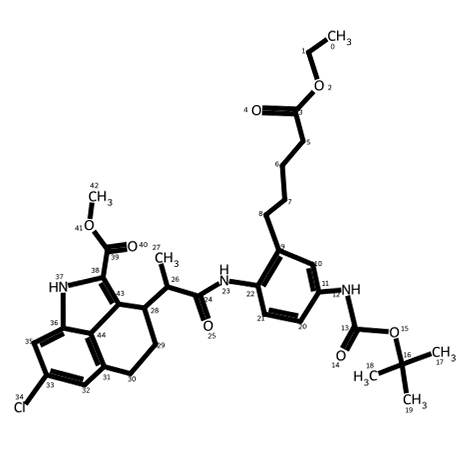 CCOC(=O)CCCCc1cc(NC(=O)OC(C)(C)C)ccc1NC(=O)C(C)C1CCc2cc(Cl)cc3[nH]c(C(=O)OC)c1c23